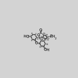 O=C1OC2(c3ccc(O)cc3Oc3cc(O)ccc32)c2ccc(P)cc21